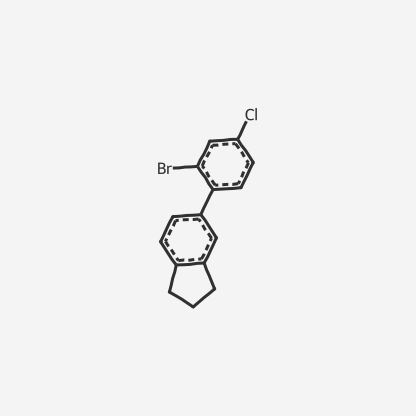 Clc1ccc(-c2ccc3c(c2)CCC3)c(Br)c1